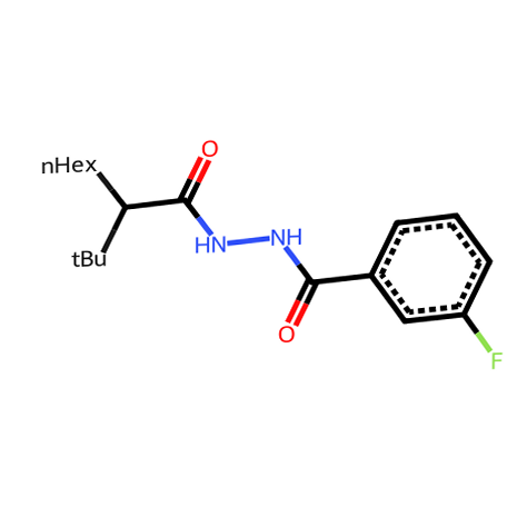 CCCCCCC(C(=O)NNC(=O)c1cccc(F)c1)C(C)(C)C